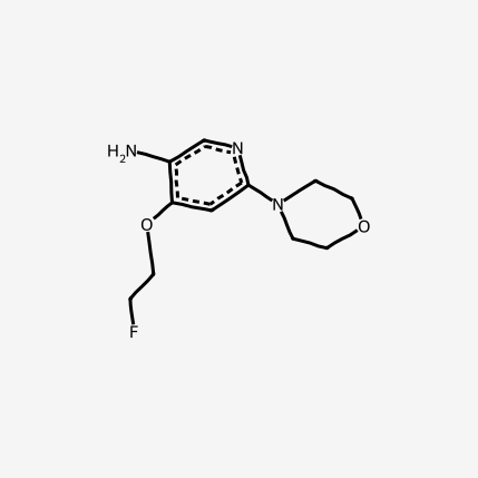 Nc1cnc(N2CCOCC2)cc1OCCF